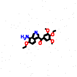 CCOc1ccc2c(C(=O)c3cc(OC)c(OCC)c(OC)c3)cncc2c1N